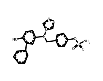 N#Cc1ccc(N(Cc2ccc(OS(N)(=O)=O)cc2)n2cnnc2)cc1-c1ccccc1